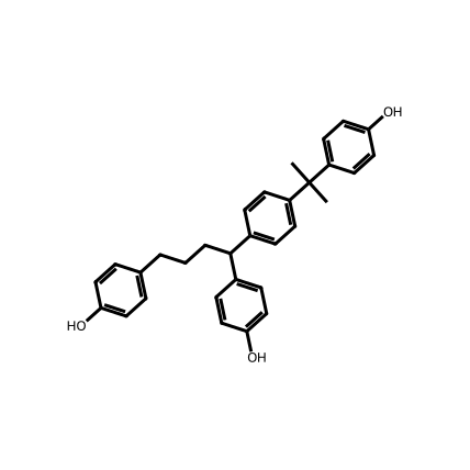 CC(C)(c1ccc(O)cc1)c1ccc(C(CCCc2ccc(O)cc2)c2ccc(O)cc2)cc1